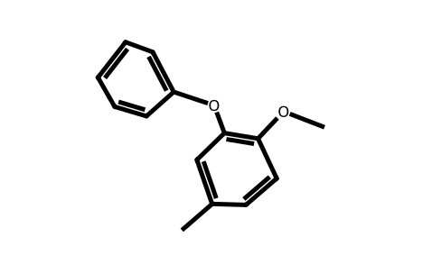 COc1ccc(C)cc1Oc1ccccc1